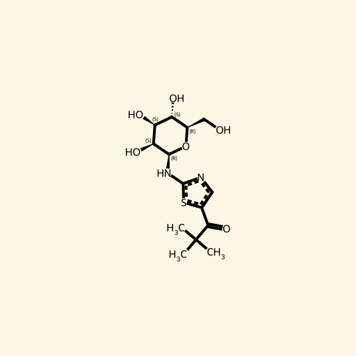 CC(C)(C)C(=O)c1cnc(N[C@@H]2O[C@H](CO)[C@@H](O)[C@H](O)[C@@H]2O)s1